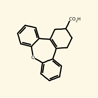 O=C(O)C1CCC2=C(C1)c1ccccc1Oc1ccccc12